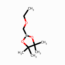 CCOCB1OC(C)(C)C(C)(C)O1